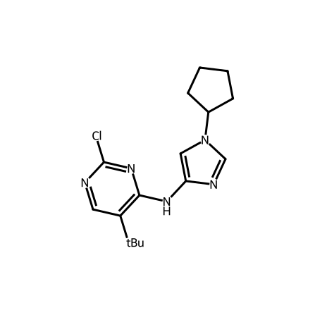 CC(C)(C)c1cnc(Cl)nc1Nc1cn(C2CCCC2)cn1